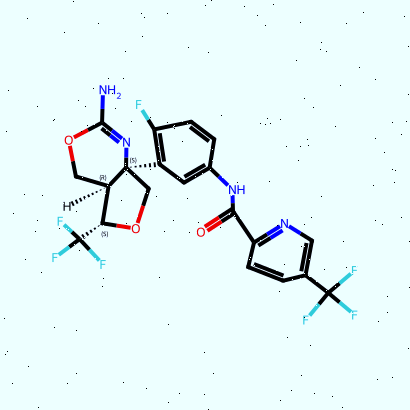 NC1=N[C@@]2(c3cc(NC(=O)c4ccc(C(F)(F)F)cn4)ccc3F)CO[C@H](C(F)(F)F)[C@H]2CO1